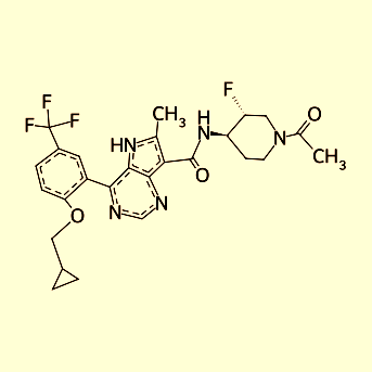 CC(=O)N1CC[C@@H](NC(=O)c2c(C)[nH]c3c(-c4cc(C(F)(F)F)ccc4OCC4CC4)ncnc23)[C@H](F)C1